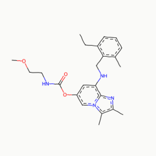 CCc1cccc(C)c1CNc1cc(OC(=O)NCCOC)cn2c(C)c(C)nc12